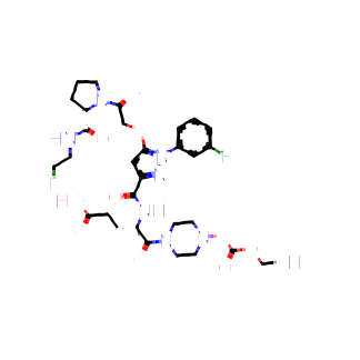 CCOC(=O)ON1CCN(C(=O)[C@H](CCC(=O)O)NC(=O)c2cc(OCC(=O)N3CCC[C@H]3C(=O)NCCF)n(-c3cccc(F)c3)n2)CC1